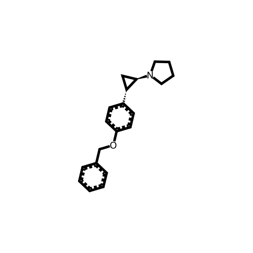 c1ccc(COc2ccc([C@@H]3C[C@H]3N3CCCC3)cc2)cc1